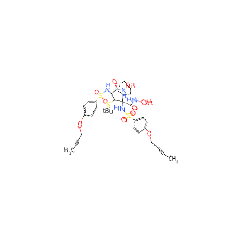 CC#CCOc1ccc(S(=O)(=O)NC(C(=O)NO)C(SC(C)(C)C)C(NS(=O)(=O)c2ccc(OCC#CC)cc2)(C(=O)NO)C2CCCCC2)cc1